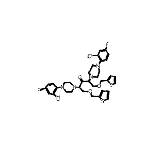 O=C(C(COCc1cccs1)N1CCN(c2ccc(F)cc2Cl)CC1)C(COCc1cccs1)N1CCN(c2ccc(F)cc2Cl)CC1